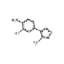 Nc1ccc(-c2cscc2C(F)(F)F)cc1O